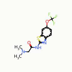 CN(C)CC(=O)Nc1nc2ccc(OC(F)(F)F)cc2s1